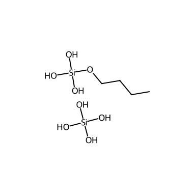 CCCCO[Si](O)(O)O.O[Si](O)(O)O